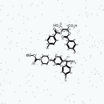 CC(C)(C)OC(=O)N1CCN(c2ncc([C@@](C)(N)c3ccc(F)cc3)cn2)CC1.Cc1ccc(C(=O)O[C@H](C(=O)O)[C@H](OC(=O)c2ccc(C)cc2)C(=O)O)cc1